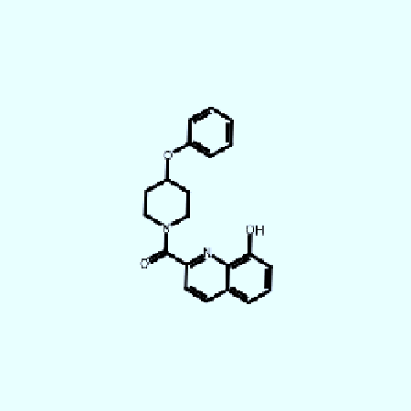 O=C(c1ccc2cccc(O)c2n1)N1CCC(Oc2ccccc2)CC1